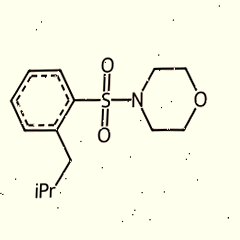 CC(C)Cc1ccccc1S(=O)(=O)N1CCOCC1